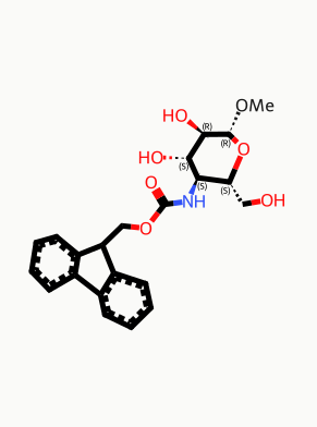 CO[C@@H]1O[C@H](CO)[C@@H](NC(=O)OCC2c3ccccc3-c3ccccc32)[C@H](O)[C@H]1O